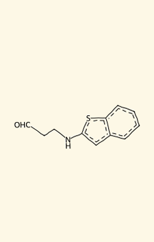 O=CCCNc1cc2ccccc2s1